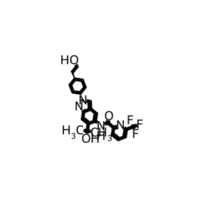 CC(C)(O)c1cc2nn([C@H]3CC[C@H](CCO)CC3)cc2cc1NC(=O)c1cccc(C(F)(F)F)n1